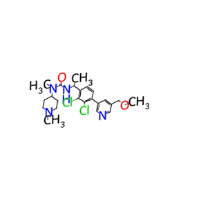 COCc1cncc(-c2ccc(C(C)NC(=O)N(C)C3CCN(C)CC3)c(Cl)c2Cl)c1